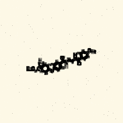 CCOc1ccc(C(=O)NCCNC(=O)c2ccc(O[C@H]3CC[C@](C)(C(=O)OCC)CC3)cc2)cc1